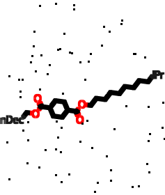 CCCCCCCCCCCOC(=O)C1CCC(C(=O)OCCCCCCCCCC(C)C)CC1